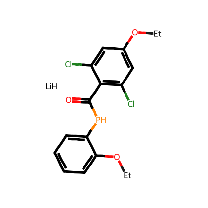 CCOc1cc(Cl)c(C(=O)Pc2ccccc2OCC)c(Cl)c1.[LiH]